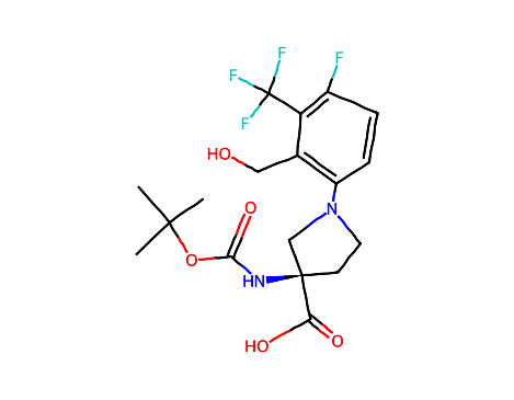 CC(C)(C)OC(=O)N[C@]1(C(=O)O)CCN(c2ccc(F)c(C(F)(F)F)c2CO)C1